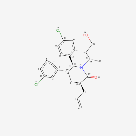 C=CC[C@H]1C[C@H](c2cccc(Cl)c2)[C@@H](c2ccc(Cl)cc2)N([C@@H](C)CCO)C1=O